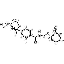 Cc1cc(C2(C)CCSC(N)=N2)ccc1C(=O)NCCc1ccccc1Cl